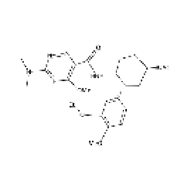 CCOc1cc([C@H]2C[C@H](OC(C)=O)CC[C@H]2NC(=O)c2cnc(N(C)C)nc2OC)ccc1OC